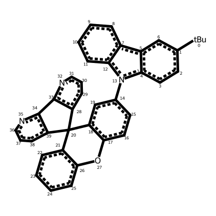 CC(C)(C)c1ccc2c(c1)c1ccccc1n2-c1ccc2c(c1)C1(c3ccccc3O2)c2cccnc2-c2ncccc21